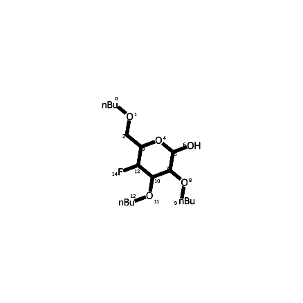 CCCCOCC1OC(O)C(OCCCC)C(OCCCC)C1F